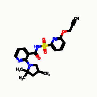 C#CCOc1cccc(S(=O)(=O)NC(=O)c2cccnc2N2CC(C)CC2(C)C)n1